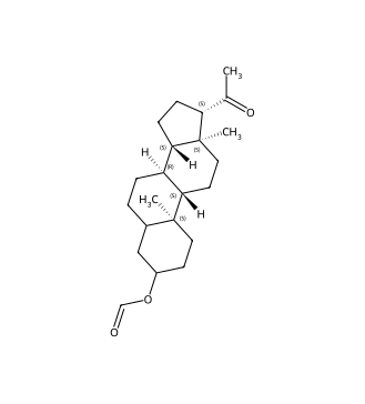 CC(=O)[C@H]1CC[C@H]2[C@@H]3CCC4CC(OC=O)CC[C@]4(C)[C@H]3CC[C@]12C